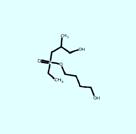 CCP(=O)(CC(C)CO)OCCCCO